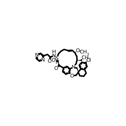 CC[C@@H]1C[C@@H](OC)/C=C/CCC[S@@](=O)(NC(=O)Cc2cnccn2)=NC(=O)c2ccc3c(c2)N(C1)C[C@@]1(CCCc2cc(Cl)ccc21)CO3